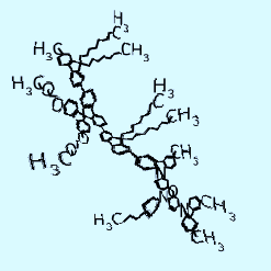 CCCCCCCCC1(CCCCCCCC)c2cc(C)ccc2-c2ccc(-c3ccc4c(c3)C(c3ccc(OCCOCC)cc3)(c3ccc(OCCOCC)cc3)c3cc(-c5ccc6c(c5)C(CCCCCCCC)(CCCCCCCC)c5cc(-c7ccc8c(c7)c7cc(C)ccc7n8-c7ccc8c(c7)Oc7cc(-n9c%10ccc(C)cc%10c%10cc(C)ccc%109)ccc7N8c7ccc(CCCC)cc7)ccc5-6)ccc3-4)cc21